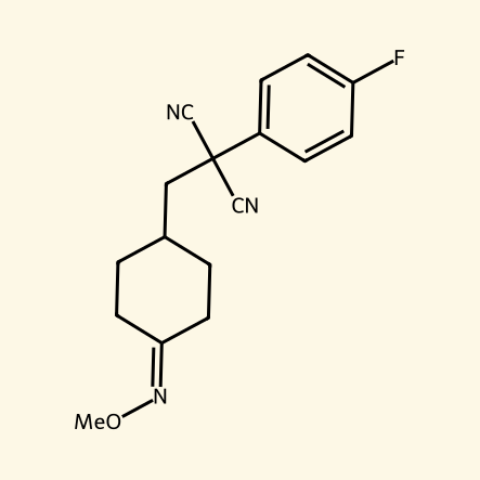 CON=C1CCC(CC(C#N)(C#N)c2ccc(F)cc2)CC1